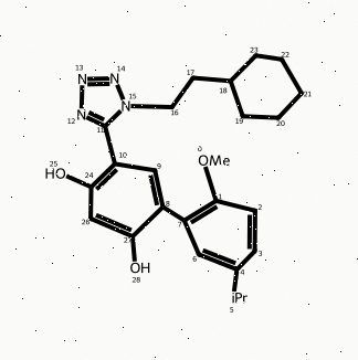 COc1ccc(C(C)C)cc1-c1cc(-c2nnnn2CCC2CCCCC2)c(O)cc1O